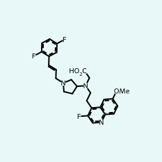 COc1ccc2ncc(F)c(CCN(CC(=O)O)C3CCN(CC=Cc4cc(F)ccc4F)C3)c2c1